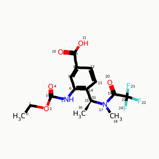 CCOC(=O)Nc1cc(C(=O)O)ccc1[C@H](C)N(C)C(=O)C(F)(F)F